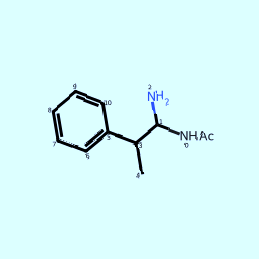 CC(=O)NC(N)C(C)c1ccccc1